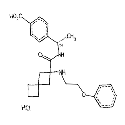 C[C@H](NC(=O)C1(NCCOc2ccccc2)CC2(CCC2)C1)c1ccc(C(=O)O)cc1.Cl